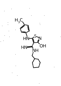 Cc1ccc(Nc2snc(O)c2C(=N)NCC2CCCCC2)cc1